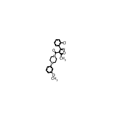 COc1cccc(N2CCN(C(=O)c3c(-c4ccccc4Cl)noc3C)CC2)c1